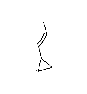 CC=CC1[CH]C1